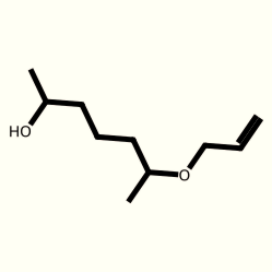 C=CCOC(C)CCCC(C)O